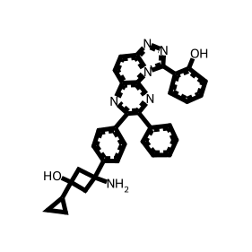 NC1(c2ccc(-c3nc4ccc5nnc(-c6ccccc6O)n5c4nc3-c3ccccc3)cc2)CC(O)(C2CC2)C1